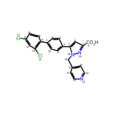 O=C(O)c1cc(-c2ccc(-c3ccc(Cl)cc3Cl)cc2)n(Cc2ccncc2)n1